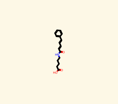 O=C(O)CCCCNC(=O)/C=C/C=C/c1ccccc1